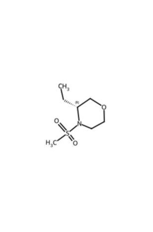 CC[C@@H]1COCCN1S(C)(=O)=O